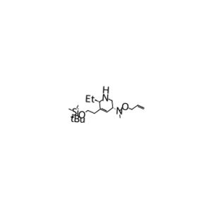 C=CCON(C)[C@@H]1C=C(CCO[Si](C)(C)C(C)(C)C)[C@@H](CC)NC1